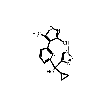 Cc1noc(C)c1-c1cccc(C(O)(c2c[nH]nn2)C2CC2)n1